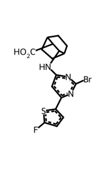 O=C(O)C1C2CCC(CC2)C1Nc1cc(-c2ccc(F)s2)nc(Br)n1